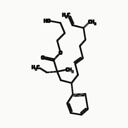 C=CC(C)CCC=CCC(CC(C)(CC)C(=O)OCCCO)c1ccccc1